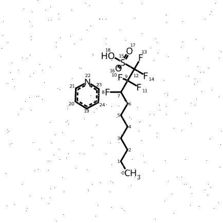 CCCCCCCC(F)C(F)(F)C(F)(F)S(=O)(=O)O.c1ccncc1